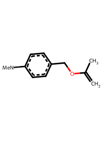 C=C(C)OCc1ccc(NC)cc1